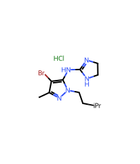 Cc1nn(CCC(C)C)c(NC2=NCCN2)c1Br.Cl